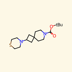 CC(C)(C)OC(=O)N1CCC2(CC1)CC(N1CCSCC1)C2